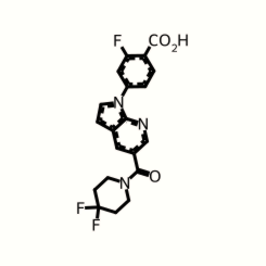 O=C(O)c1ccc(-n2ccc3cc(C(=O)N4CCC(F)(F)CC4)cnc32)cc1F